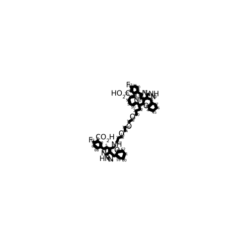 O=C(O)c1cc(-c2cc(C(=O)NCCCOCCOCCOCCCC(C(=O)c3cc(-c4ccc(F)c(C(=O)O)c4)nc4[nH]nc(-c5ccccc5)c34)C3=CC=CC=CN3)c3c(-c4ccccc4)n[nH]c3n2)ccc1F